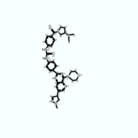 CN1CC(c2cnc3c(N4CCOCC4)nc(-c4ccc(NC(=O)Nc5ccc(C(=O)N6CC[C@@H](N(C)C)C6)cc5)cc4)nc3c2)C=N1